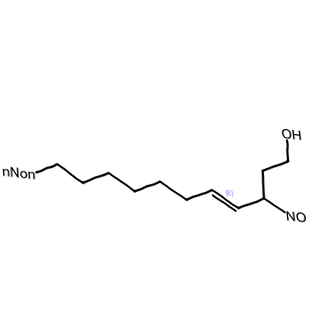 CCCCCCCCCCCCCCC/C=C/C(CCO)N=O